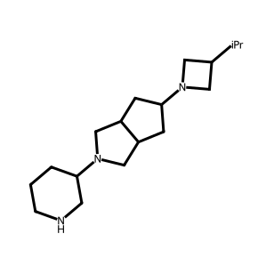 CC(C)C1CN(C2CC3CN(C4CCCNC4)CC3C2)C1